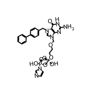 Nc1nc2c(c(=O)[nH]1)[n+](Cc1ccc(-c3ccccc3)cc1)cn2COCCOP(=O)(O)OP(=O)(O)n1ccnc1